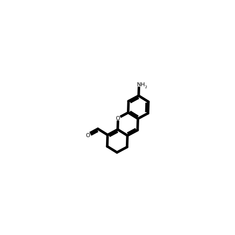 Nc1ccc2c(c1)OC1=C(C=O)CCCC1=C2